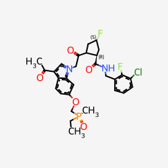 CCP(C)(=O)COc1ccc2c(C(C)=O)cn(CC(=O)C3C[C@H](F)C[C@H]3C(=O)NCc3cccc(Cl)c3F)c2c1